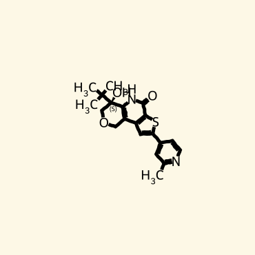 Cc1cc(-c2cc3c4c([nH]c(=O)c3s2)[C@@](O)(C(C)(C)C)COC4)ccn1